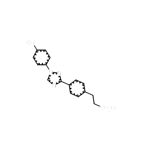 CCOC(=O)CCc1ccc(-c2ncn(-c3ccc(C(C)(C)C)cc3)n2)cc1